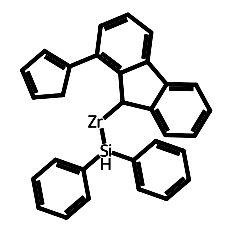 C1=CCC(c2cccc3c2[CH]([Zr][SiH](c2ccccc2)c2ccccc2)c2ccccc2-3)=C1